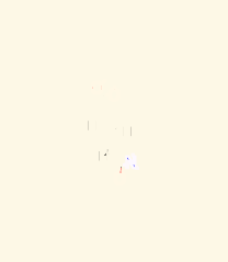 CN1CC[C@@]2(C)[C@@H](CC[C@@H]3[C@@H]2CC[C@@]2(C)[C@H]3CCC23OCCO3)CC1=O